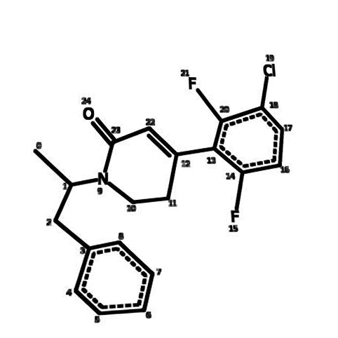 CC(Cc1ccccc1)N1CCC(c2c(F)ccc(Cl)c2F)=CC1=O